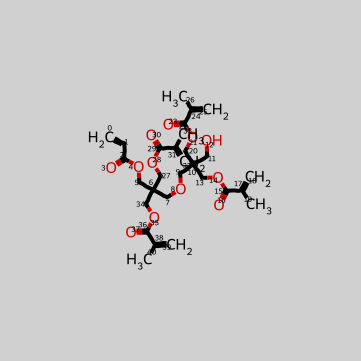 C=CC(=O)OCC(COCC(CO)(COC(=O)C(=C)C)COC(=O)C(=C)C)(COC(=O)C(=C)C)COC(=O)C(=C)C